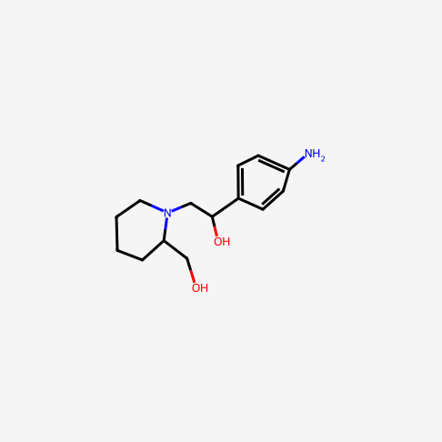 Nc1ccc(C(O)CN2CCCCC2CO)cc1